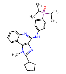 CC(C)P(=O)(c1ccc(Nc2nc3ccccc3c3c2nc(C2CCCC2)n3C)cc1)C(C)C